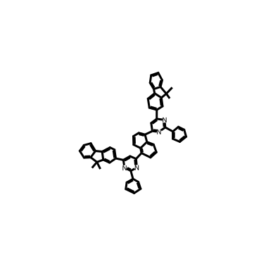 CC1(C)c2ccccc2-c2ccc(-c3cc(-c4cccc5c(-c6cc(-c7ccc8c(c7)C(C)(C)c7ccccc7-8)nc(-c7ccccc7)n6)cccc45)nc(-c4ccccc4)n3)cc21